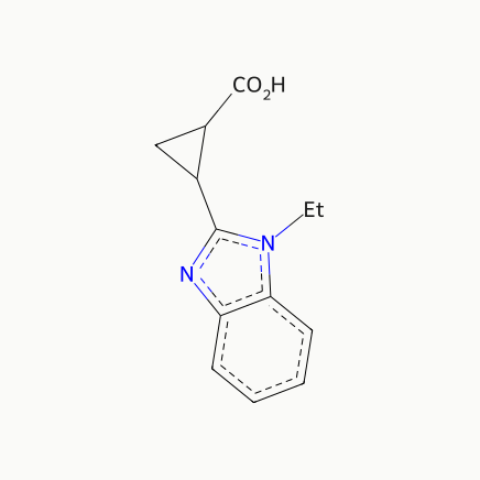 CCn1c(C2CC2C(=O)O)nc2ccccc21